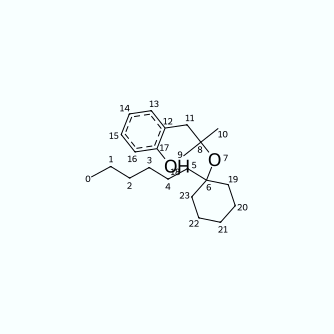 CCCCCCC1(OC(C)(C)Cc2ccccc2O)CCCCC1